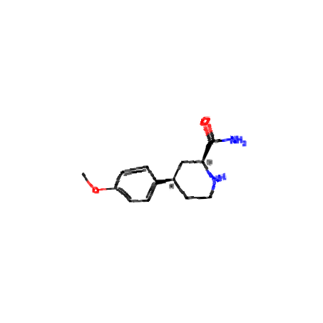 COc1ccc([C@@H]2CCN[C@H](C(N)=O)C2)cc1